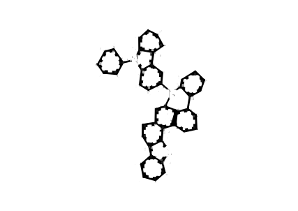 c1ccc(-c2ccccc2N(c2ccc3c(ccc4c5ccccc5sc34)c2)c2ccc3c(c2)c2ccccc2n3-c2ccccc2)cc1